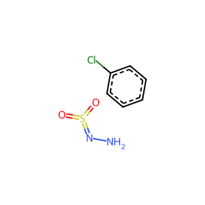 Clc1ccccc1.NN=S(=O)=O